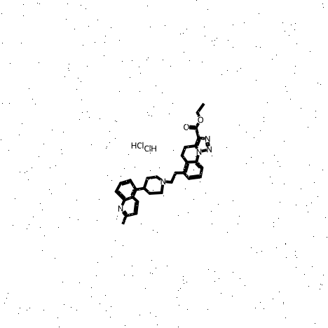 CCOC(=O)c1nnn2c1CCc1c(CCN3CCC(c4cccc5nc(C)ccc45)CC3)cccc1-2.Cl.Cl